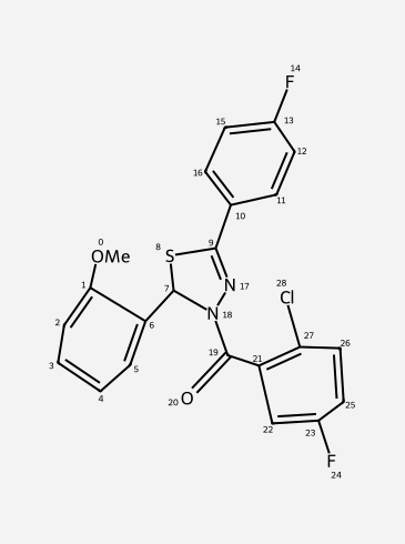 COc1ccccc1C1SC(c2ccc(F)cc2)=NN1C(=O)c1cc(F)ccc1Cl